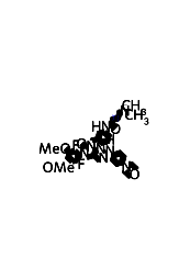 COc1cc(OC)c(F)c(N2Cc3cnc(Nc4ccc(N5CCOCC5)cc4)nc3N(Cc3cccc(NC(=O)/C=C/CN(C)C)c3)C2=O)c1F